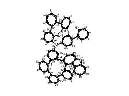 c1ccc(-c2ccc(N(c3ccc4c5ccccc5c5ccccc5c5ccccc5c5c(ccc6sc7ccccc7c65)c4c3)c3cccc4c3Oc3ccccc3-c3ccccc3-4)cc2)cc1